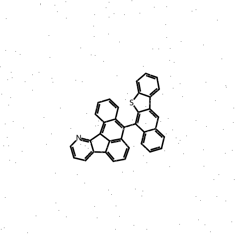 c1cnc2c(c1)-c1cccc3c(-c4c5ccccc5cc5c4sc4ccccc45)c4ccccc4c-2c13